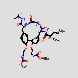 CSCC[C@H](NC(C)=O)C(=O)N(C)[C@@H]1C(=O)N[C@@H](C)C(=O)N[C@H](C(=O)N[C@@H](C)C(C)=O)Cc2ccc(OCCNC(=O)OC(C)(C)C)c(c2)-c2cc1ccc2OCCNC(=O)OC(C)(C)C